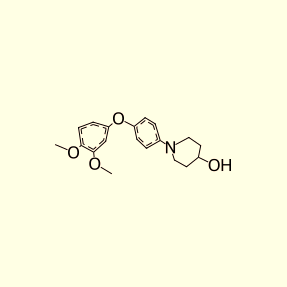 COc1ccc(Oc2ccc(N3CCC(O)CC3)cc2)cc1OC